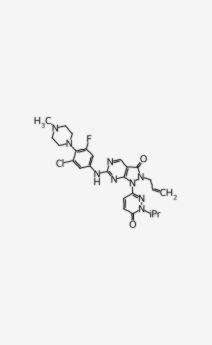 C=CCn1c(=O)c2cnc(Nc3cc(F)c(N4CCN(C)CC4)c(Cl)c3)nc2n1-c1ccc(=O)n(C(C)C)n1